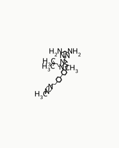 Cc1ccc(-c2ccc(CCN3CCN(C)CC3)cc2)cc1N(CCC(C)C)c1nc(-c2nc(N)cc(N)n2)cs1